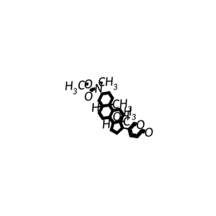 COC(=O)N(C)C1CC[C@]2(C)C3CC[C@]4(C)[C@@H](c5ccc(=O)oc5)CC[C@]4(O)[C@@H]3CC[C@@H]2C1